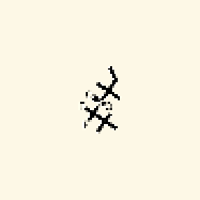 CCC(C)(C)S(=O)(=O)C(F)(F)C(C)(C)C